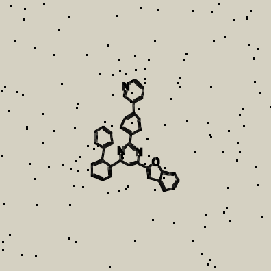 c1ccc(-c2ccccc2-c2cc(-c3cc4ccccc4o3)nc(-c3ccc(-c4cccnc4)cc3)n2)cc1